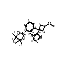 COC1CC(c2cccc(B3OC(C)(C)C(C)(C)O3)c2)(c2nncn2C)C1